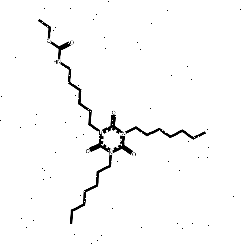 CCCCCCCn1c(=O)n(CCCCCCC)c(=O)n(CCCCCCNC(=O)OCC)c1=O